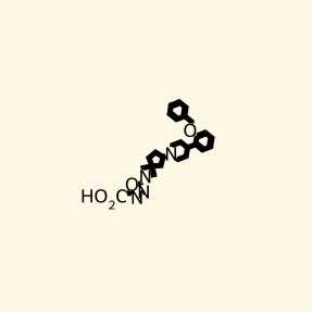 O=C(O)c1nnc(N2CC3(CCC(N4CCC(c5ccccc5OCc5ccccc5)CC4)C3)C2)o1